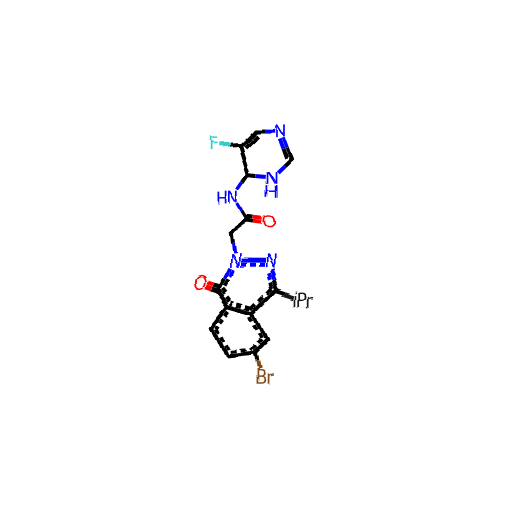 CC(C)c1nn(CC(=O)NC2NC=NC=C2F)c(=O)c2ccc(Br)cc12